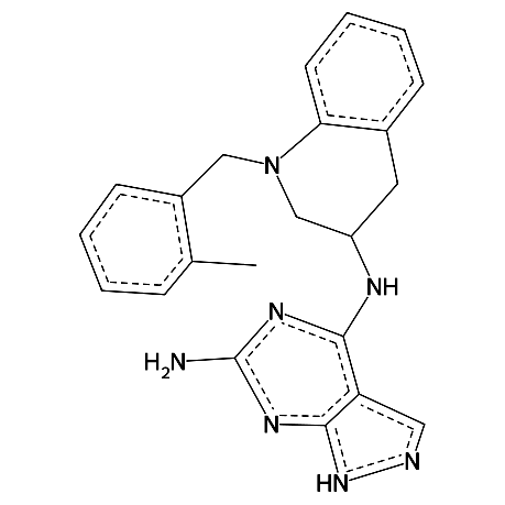 Cc1ccccc1CN1CC(Nc2nc(N)nc3[nH]ncc23)Cc2ccccc21